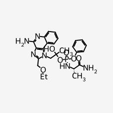 CCOCc1nc2c(N)nc3ccccc3c2n1CC(C)(O)OP(=O)(N[C@@H](C)C(N)=O)Oc1ccccc1